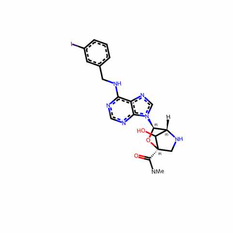 CNC(=O)[C@@]12CN[C@H](C1O)[C@H](n1cnc3c(NCc4cccc(I)c4)ncnc31)O2